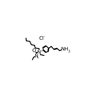 CCCCCCC[N+](CC)(C(=O)N(C)CC)c1ccc(CC=CCN)cc1.[Cl-]